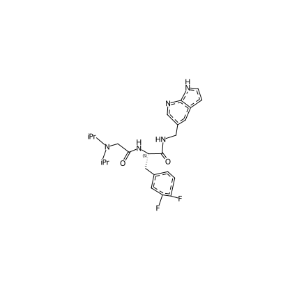 CC(C)N(CC(=O)N[C@@H](Cc1ccc(F)c(F)c1)C(=O)NCc1cnc2[nH]ccc2c1)C(C)C